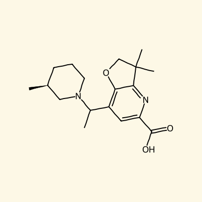 CC(c1cc(C(=O)O)nc2c1OCC2(C)C)N1CCC[C@H](C)C1